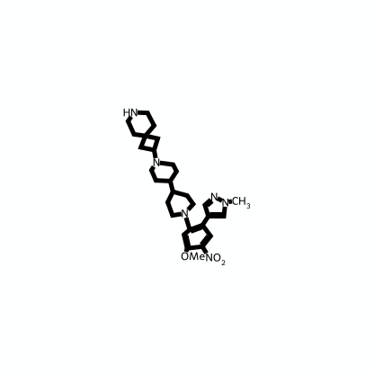 COc1cc(N2CCC(C3CCN(C4CC5(CCNCC5)C4)CC3)CC2)c(-c2cnn(C)c2)cc1[N+](=O)[O-]